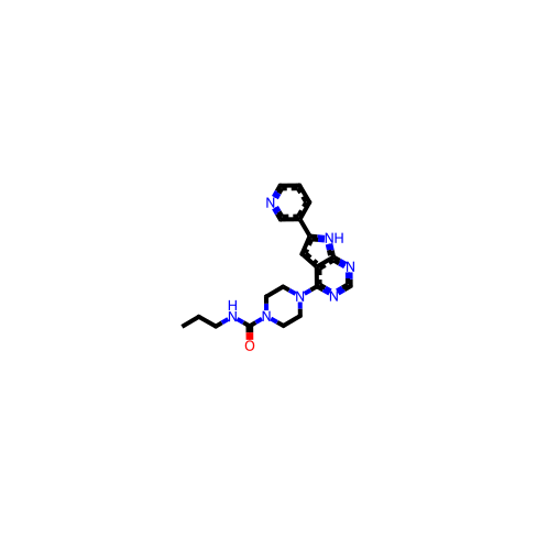 CCCNC(=O)N1CCN(c2ncnc3[nH]c(-c4cccnc4)cc23)CC1